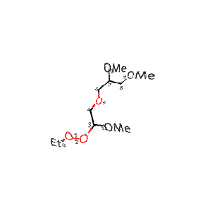 CCOOC(COCC(COC)OC)OC